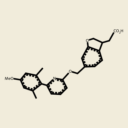 COc1cc(C)c(-c2cccc(OCc3ccc4c(c3)OCC4CC(=O)O)n2)c(C)c1